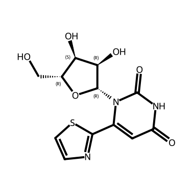 O=c1cc(-c2nccs2)n([C@@H]2O[C@H](CO)[C@@H](O)[C@H]2O)c(=O)[nH]1